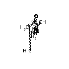 CCCCCCCCCCCCCCCCC(C)OCCOP(=O)(COC(CCO)Cn1cnc2c(N)ncnc21)OCc1ccccc1